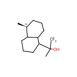 C[C@H]1CCCC2C1CCCC2C(C)(O)C(F)(F)F